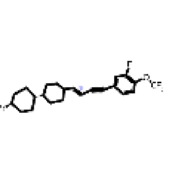 CCC[C@H]1CC[C@H](C2CCC(/C=C/C#Cc3ccc(OC(F)(F)F)c(F)c3)CC2)CC1